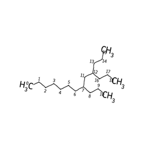 CCCCCCCC(CCC)CC(CCC)CCC